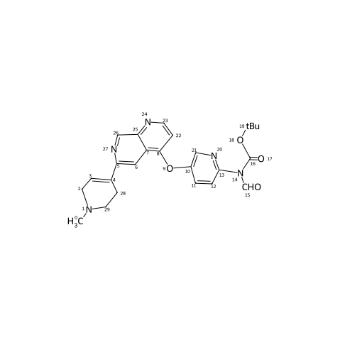 CN1CC=C(c2cc3c(Oc4ccc(N(C=O)C(=O)OC(C)(C)C)nc4)ccnc3cn2)CC1